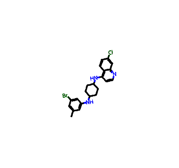 Cc1cc(Br)cc(NC2CCC(Nc3ccnc4cc(Cl)ccc34)CC2)c1